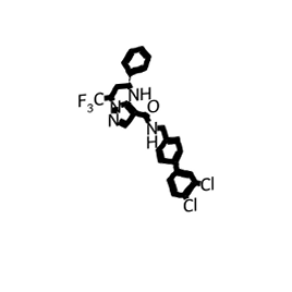 O=C(NCc1ccc(-c2ccc(Cl)c(Cl)c2)cc1)c1cnn2c1N[C@@H](c1ccccc1)CC2C(F)(F)F